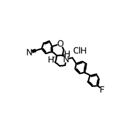 Cl.N#Cc1ccc2c(c1)[C@@H]1CCCN(Cc3ccc(-c4ccc(F)cc4)cc3)[C@H]1CO2